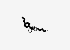 [CH2]CCCCOOC(=O)c1ccc(CCC)cc1